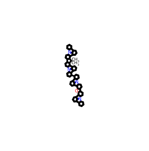 CC1(C)c2c(ccc3c2c2cccc4c5ccccc5n3c42)-c2ccc3c(c21)c1cccc2c4c(-c5cccc6c5c5cccc7c8c9oc%10c(ccc%11c%10c%10cccc%12c%13ccccc%13n%11c%12%10)c9ccc8n6c57)cccc4n3c21